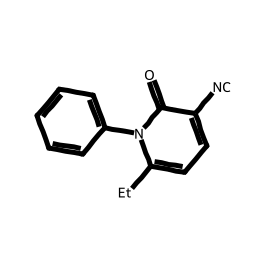 [C-]#[N+]c1ccc(CC)n(-c2ccccc2)c1=O